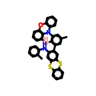 Cc1cc(-c2cc3c(cc2Nc2ccccc2C)Sc2ccccc2S3)c2c(c1)N1c3ccccc3Oc3cccc(c31)B2